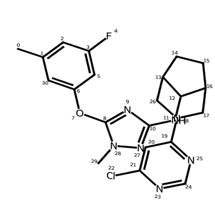 Cc1cc(F)cc(Oc2nc(NC3C4CCC3CN(c3cc(Cl)ncn3)C4)nn2C)c1